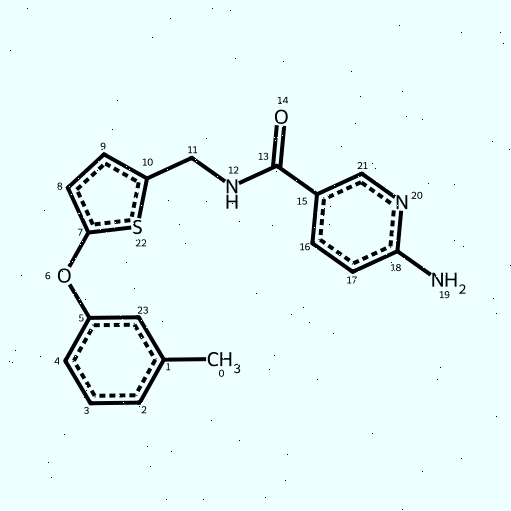 Cc1cccc(Oc2ccc(CNC(=O)c3ccc(N)nc3)s2)c1